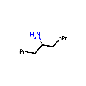 CCCC[C@@H](N)CC(C)C